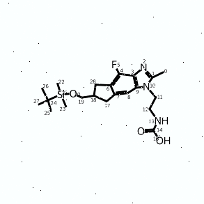 Cc1nc2c(F)c3c(cc2n1CCNC(=O)O)CC(CO[Si](C)(C)C(C)(C)C)C3